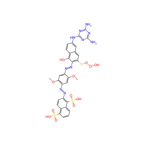 COc1cc(N=Nc2c(SOOO)cc3cc(Nc4nc(N)nc(N)n4)ccc3c2O)c(OC)cc1N=Nc1ccc2c(S(=O)(=O)O)cccc2c1S(=O)(=O)O